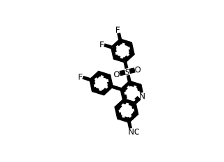 [C-]#[N+]c1ccc2c(-c3ccc(F)cc3)c(S(=O)(=O)c3ccc(F)c(F)c3)cnc2c1